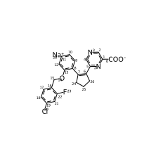 O=C([O-])c1cncc(C2=C(c3ccccc3OCc3ccc(Cl)cc3F)CCC2)n1.[Na+]